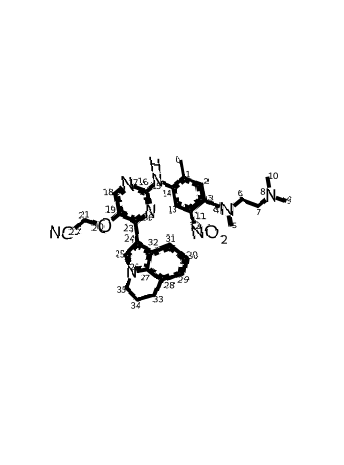 Cc1cc(N(C)CCN(C)C)c([N+](=O)[O-])cc1Nc1ncc(OCC#N)c(-c2cn3c4c(cccc24)CCC3)n1